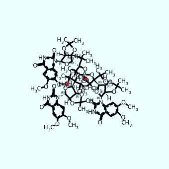 COc1cc2c(=O)[nH]c(=O)n([C@@H]3O[C@@H](C(OP(=O)(OC([C@@H]4O[C@@H](n5c(=O)[nH]c(=O)c6cc(OC)c(OC)cc65)[C@@H]5OC(C)(C)O[C@@H]54)(C(C)(C)C)C(C)(C)C)OC([C@@H]4O[C@@H](n5c(=O)[nH]c(=O)c6cc(OC)c(OC)cc65)[C@@H]5OC(C)(C)O[C@@H]54)(C(C)(C)C)C(C)(C)C)(C(C)(C)C)C(C)(C)C)[C@H]4OC(C)(C)O[C@H]43)c2cc1OC